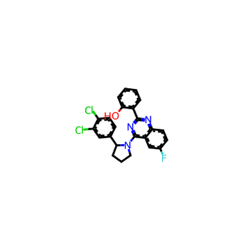 Oc1ccccc1-c1nc(N2CCCC2c2ccc(Cl)c(Cl)c2)c2cc(F)ccc2n1